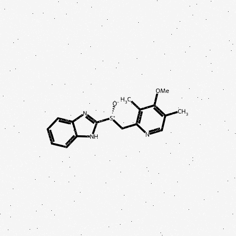 COc1c(C)cnc(C[S@@+]([O-])c2nc3ccccc3[nH]2)c1C